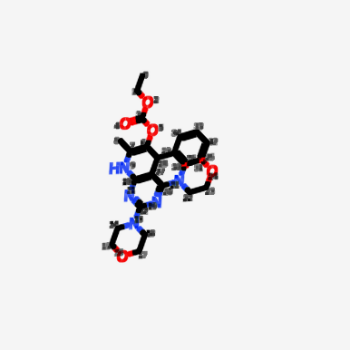 CCOC(=O)OC1=C(C)Nc2nc(N3CCOCC3)nc(N3CCOCC3)c2C1c1ccccc1